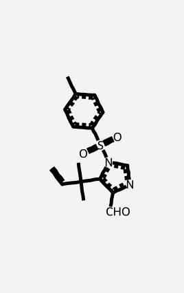 C=CC(C)(C)c1c(C=O)ncn1S(=O)(=O)c1ccc(C)cc1